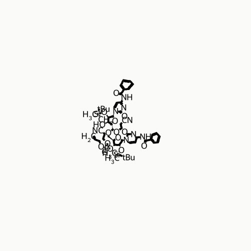 C=CCOP(=O)(OCCC#N)O[C@H]1[C@@H](O[Si](C)(C)C(C)(C)C)[C@H](n2ccc(NC(=O)c3ccccc3)nc2=O)O[C@@H]1COC(OCCC#N)[C@H]1O[C@@H](n2ccc(NC(=O)c3ccccc3)nc2=O)[C@H](O[Si](C)(C)C(C)(C)C)[C@@H]1O